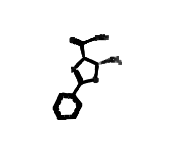 COC(=O)[C@@H]1N=C(c2ccccc2)O[C@H]1C